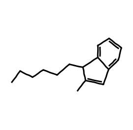 CCCCCCC1C(C)=Cc2ccccc21